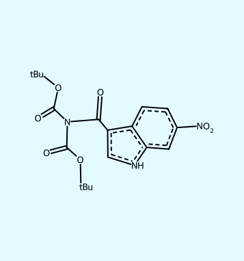 CC(C)(C)OC(=O)N(C(=O)OC(C)(C)C)C(=O)c1c[nH]c2cc([N+](=O)[O-])ccc12